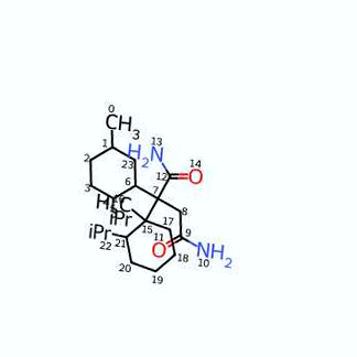 CC1CCC(C(C)C)C(C(CC(N)=O)(C(N)=O)C2(C)CCCCC2C(C)C)C1